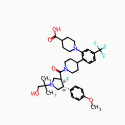 COc1ccc([C@@H]2CN(C(C)(C)CO)C[C@@]2(F)C(=O)N2CCC(c3ccc(C(F)(F)F)cc3N3CCC(C(=O)O)CC3)CC2)cc1